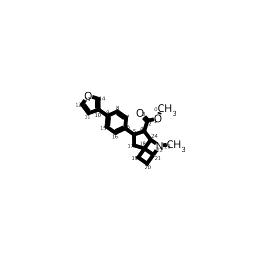 COC(=O)C1C(c2ccc(-c3ccoc3)cc2)CC23CCC2N(C)C13